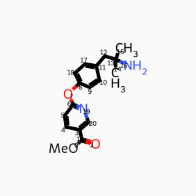 COC(=O)c1ccc(Oc2ccc(CC(C)(C)N)cc2)nc1